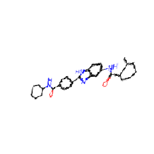 CC1CCCCC1C(=O)Nc1ccc2[nH]c(-c3ccc(C(=O)NC4CCCCC4)cc3)nc2c1